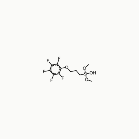 CO[Si](O)(CCCOc1c(F)c(F)c(F)c(F)c1F)OC